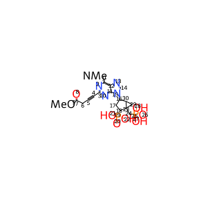 CNc1nc(C#CCC(=O)OC)nc2c1ncn2C1CC(P(=O)(O)O)C2(CP(=O)(O)O)CC12